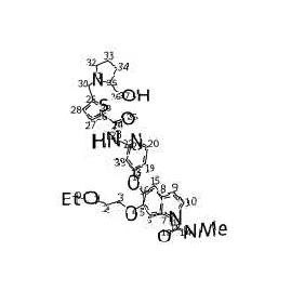 CCOCCOc1cc2c(ccn2C(=O)NC)cc1Oc1ccnc(NC(=O)c2ccc(CN3CCCC3CO)s2)c1